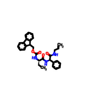 C=CCNC(=O)[C@H](NC(=O)[C@H](CC)NC(=O)OCC1c2ccccc2-c2ccccc21)c1ccccc1